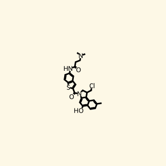 Cc1ccc2c(O)cc3c(c2c1)C(CCl)CN3C(=O)c1cc2cc(NC(=O)CCN(C)C)ccc2s1